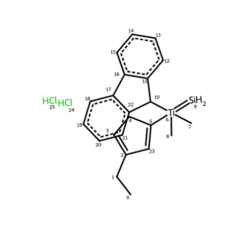 CCC1=CC[C]([Ti]([CH3])([CH3])(=[SiH2])[CH]2c3ccccc3-c3ccccc32)=C1.Cl.Cl